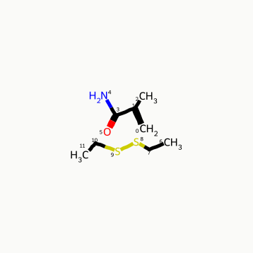 C=C(C)C(N)=O.CCSSCC